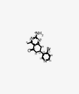 Cc1nc(N)nc2c1C(=O)CC(c1cnccc1Br)C2